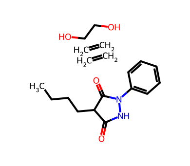 C=C.C=C.CCCCC1C(=O)NN(c2ccccc2)C1=O.OCCO